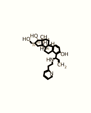 C=CC(NCCc1ccccn1)c1c(O)ccc2c1CC[C@@H]1[C@@H]2CC[C@]2(C)[C@@H](O)[C@H](CO)C[C@@H]12